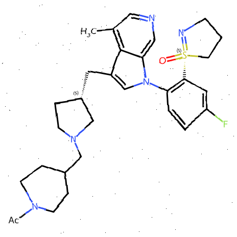 CC(=O)N1CCC(CN2CC[C@H](Cc3cn(-c4ccc(F)cc4[S@]4(=O)=NCCC4)c4cncc(C)c34)C2)CC1